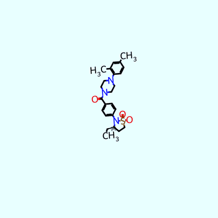 CC[C@@H]1CCS(=O)(=O)N1c1ccc(C(=O)N2CCN(c3ccc(C)cc3C)CC2)cc1